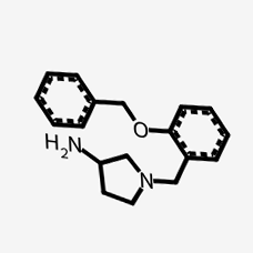 NC1CCN(Cc2ccccc2OCc2ccccc2)C1